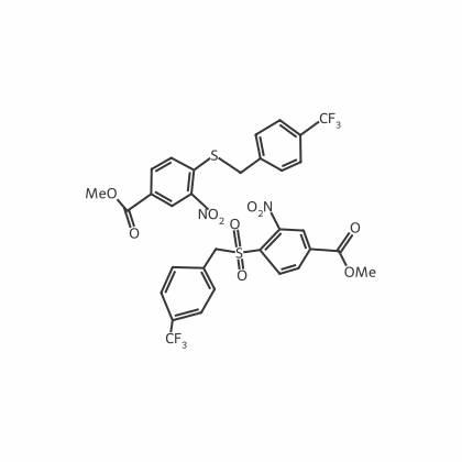 COC(=O)c1ccc(S(=O)(=O)Cc2ccc(C(F)(F)F)cc2)c([N+](=O)[O-])c1.COC(=O)c1ccc(SCc2ccc(C(F)(F)F)cc2)c([N+](=O)[O-])c1